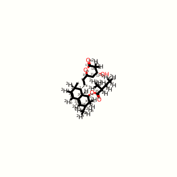 [2H]C1=C([2H])[C@]([2H])(C)[C@H](CCC2C[C@@H](O)C([2H])([2H])C(=O)O2)[C@@H]2C1=C([2H])[C@]([2H])(C([2H])([2H])[2H])C([2H])([2H])C2OC(=O)[C@@]([2H])(C([2H])([2H])[2H])C([2H])([2H])C([2H])([2H])[2H]